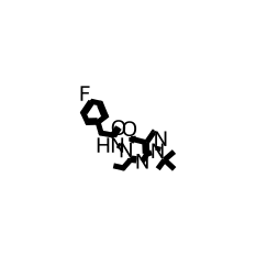 CCc1nc2c(cnn2C(C)(C)C)c(=O)n1NC(=O)Cc1ccc(F)cc1